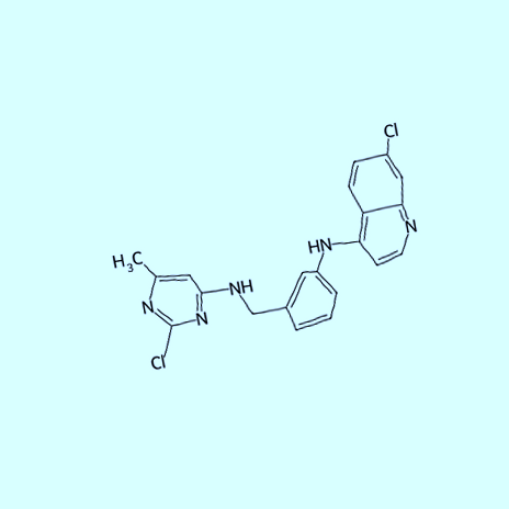 Cc1cc(NCc2cccc(Nc3ccnc4cc(Cl)ccc34)c2)nc(Cl)n1